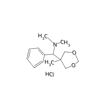 CN(C)C(c1ccccc1)C1(C)COCOC1.Cl